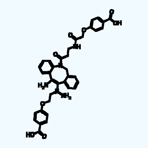 N/C1=C(\N(N)CCOc2ccc(C(=O)O)cc2)c2ccccc2CN(C(=O)CCNC(=O)COc2ccc(C(=O)O)cc2)c2ccccc21